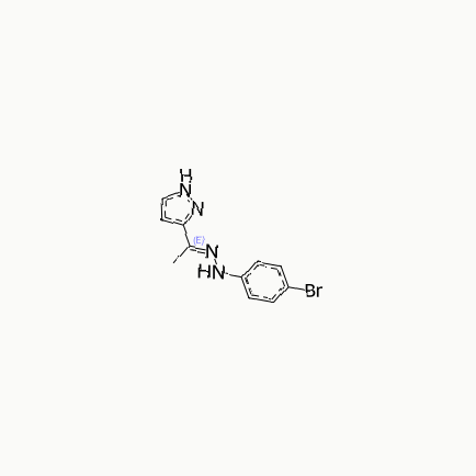 C/C(=N\Nc1ccc(Br)cc1)c1cc[nH]n1